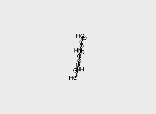 C#CCCCC(=O)NCCOCCOCCOCCC(=O)NCCOCCOCCC(=O)O